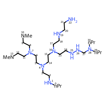 CCCNCCN(CCN(CCNC)CCNC)CCN(CCNCCN)CCNNCN(CCC)CCC